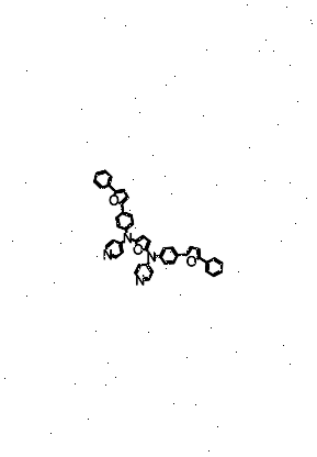 c1ccc(-c2ccc(-c3ccc(N(c4ccncc4)c4ccc(N(c5ccncc5)c5ccc(-c6ccc(-c7ccccc7)o6)cc5)o4)cc3)o2)cc1